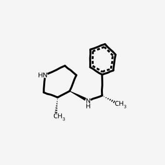 C[C@H](N[C@@H]1CCNC[C@H]1C)c1ccccc1